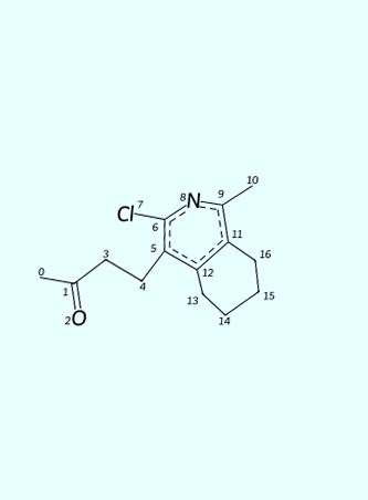 CC(=O)CCc1c(Cl)nc(C)c2c1CCCC2